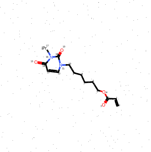 C=CC(=O)OCCCCCCn1ccc(=O)n(C(C)C)c1=O